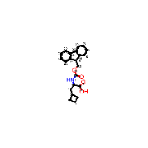 O=C(NC(CC1CCC1)C(=O)O)OCC1c2ccccc2-c2ccccc21